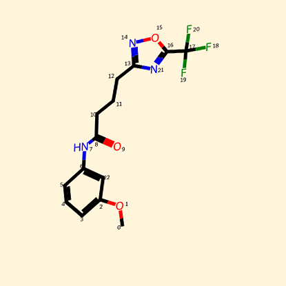 COc1cccc(NC(=O)CCCc2noc(C(F)(F)F)n2)c1